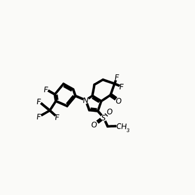 CCS(=O)(=O)c1cn(-c2ccc(F)c(C(F)(F)F)c2)c2c1C(=O)C(F)(F)CC2